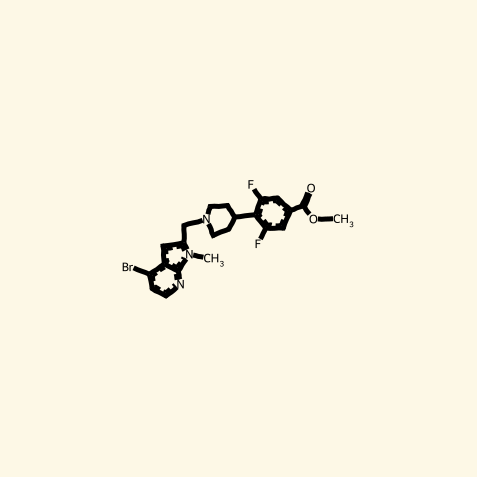 COC(=O)c1cc(F)c(C2CCN(Cc3cc4c(Br)ccnc4n3C)CC2)c(F)c1